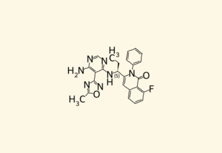 CC[C@H](Nc1ncnc(N)c1-c1noc(C)n1)c1cc2cccc(F)c2c(=O)n1-c1ccccc1